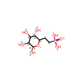 O=P(O)(O)CCC1O[C@@H](O)C(O)C(O)[C@@H]1O